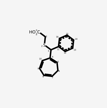 O=C(O)CSC(C1=CCC=CC=C1)c1ccccc1